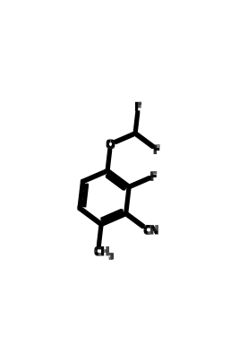 Cc1ccc(OC(F)F)c(F)c1C#N